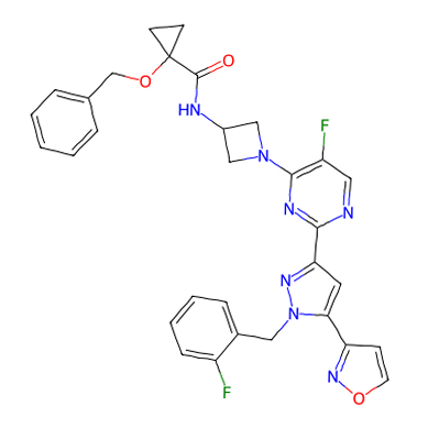 O=C(NC1CN(c2nc(-c3cc(-c4ccon4)n(Cc4ccccc4F)n3)ncc2F)C1)C1(OCc2ccccc2)CC1